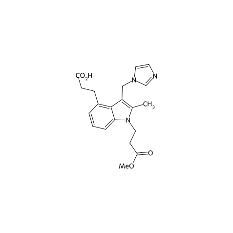 COC(=O)CCn1c(C)c(Cn2ccnc2)c2c(CCC(=O)O)cccc21